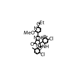 CCOc1ccc(-c2nc3c(n2C(C)C)C2(C(=O)Nc4cc(Cl)ccc42)N(c2cc(Cl)ccc2C)C3=O)c(OC)n1